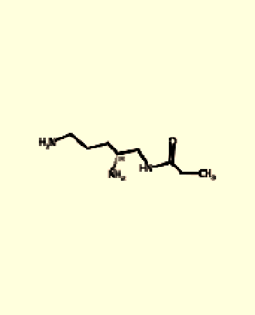 CCC(=O)NC[C@H](N)CCCN